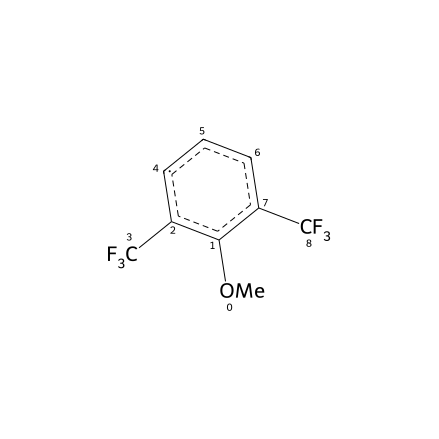 COc1c(C(F)(F)F)[c]ccc1C(F)(F)F